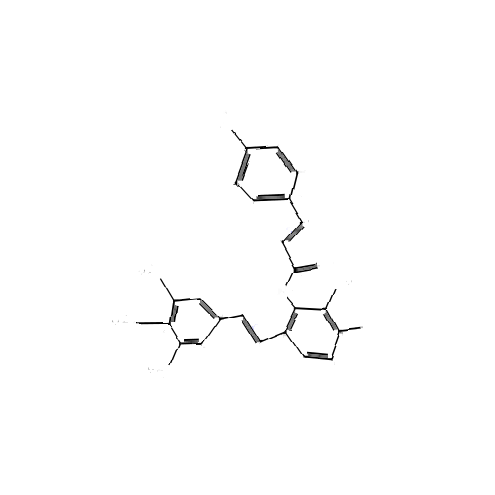 COc1cc(/C=C/c2ccc(O)c(OC)c2NC(=O)/C=C/c2ccc(C(F)(F)F)cc2)cc(OC)c1OC